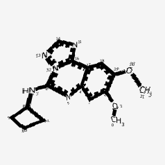 COc1cc2nc(NC3CCC3)n3ncnc3c2cc1OC